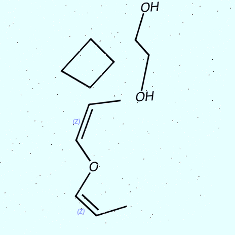 C/C=C\O/C=C\C.C1CCC1.OCCO